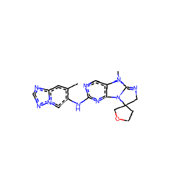 Cc1cc2ncnn2cc1Nc1ncc2c(n1)N1C(=NCC13CCOC3)N2C